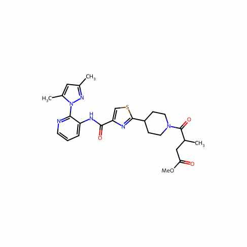 COC(=O)CC(C)C(=O)N1CCC(c2nc(C(=O)Nc3cccnc3-n3nc(C)cc3C)cs2)CC1